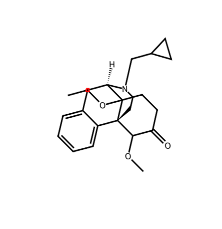 CCOC12CCC(=O)C(OC)[C@@]13CCN(CC1CC1)[C@@H]2Cc1ccccc13